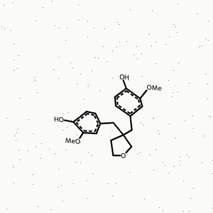 COc1cc(CC2(Cc3ccc(O)c(OC)c3)CCOC2)ccc1O